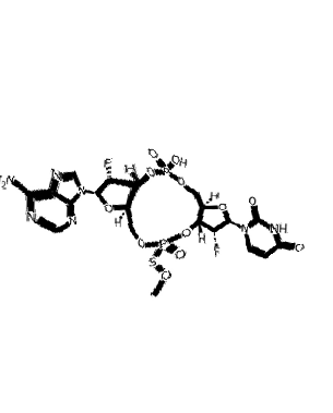 COSP1(=O)OC[C@H]2O[C@@H](n3cnc4c(N)ncnc43)[C@H](F)[C@@H]2OP(=O)(O)OC[C@H]2O[C@@H](n3ccc(=O)[nH]c3=O)[C@H](F)[C@@H]2O1